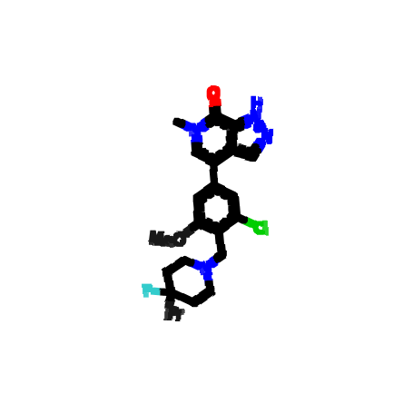 COc1cc(-c2cn(C)c(=O)c3[nH]ncc23)cc(Cl)c1CN1CCC(F)(C(C)C)CC1